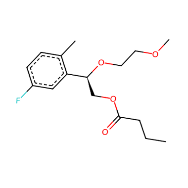 CCCC(=O)OC[C@H](OCCOC)c1cc(F)ccc1C